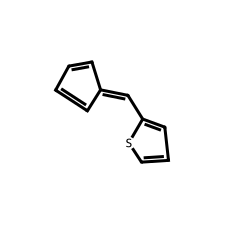 C1=CC(=Cc2cccs2)C=C1